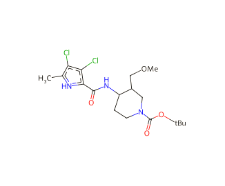 COCC1CN(C(=O)OC(C)(C)C)CCC1NC(=O)c1[nH]c(C)c(Cl)c1Cl